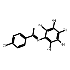 [2H]c1c([2H])c([2H])c(N=C(C)c2ccc(Cl)cc2)c([2H])c1[2H]